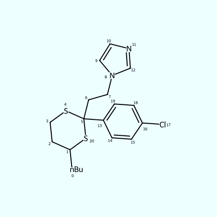 CCCCC1CCSC(CCn2ccnc2)(c2ccc(Cl)cc2)S1